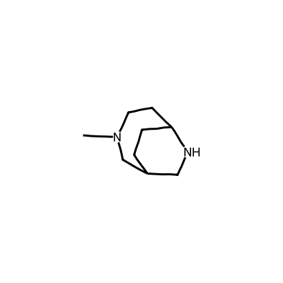 CN1CCC2CCC(CN2)C1